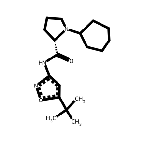 CC(C)(C)c1cc(NC(=O)[C@@H]2CCCN2C2CCCCC2)no1